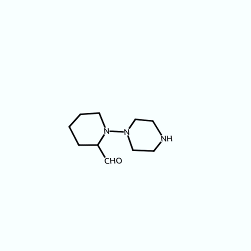 O=CC1CCCCN1N1CCNCC1